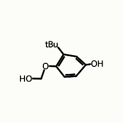 CC(C)(C)c1cc(O)ccc1OCO